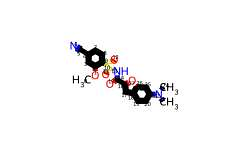 COc1cc(C#N)ccc1S(=O)(=O)NC(=O)c1cc2ccc(N(C)C)cc2o1